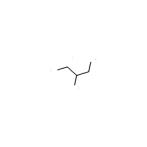 CCC(C)CC.[Zn]